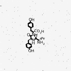 CC(C)[C@H](N)C(=O)N[C@@H](Cc1ccc(O)cc1)C(=O)N[C@@H](Cc1ccc(O)cc1)C(=O)O